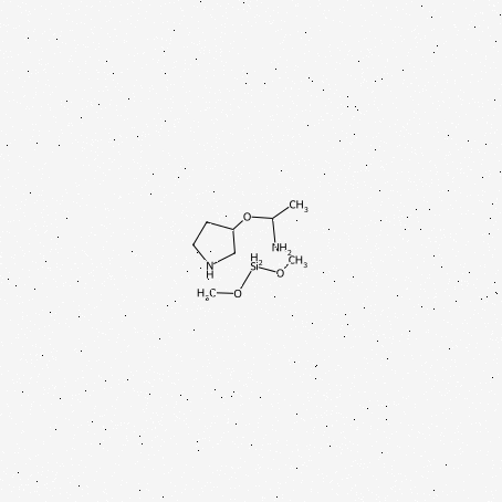 CC(N)OC1CCNC1.CO[SiH2]OC